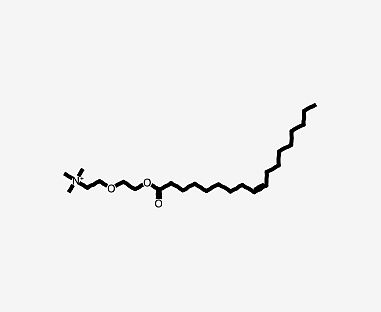 CCCCCCCC/C=C\CCCCCCCC(=O)OCCOCC[N+](C)(C)C